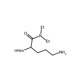 CCCCCCC(CCCN)C(=O)N(CC)CC